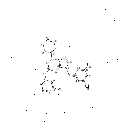 Fc1cccc(CN(CCN2CCOCC2)Cc2nccn2Cc2cc(Cl)cc(Cl)c2)c1